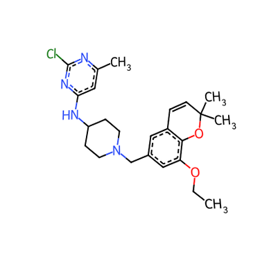 CCOc1cc(CN2CCC(Nc3cc(C)nc(Cl)n3)CC2)cc2c1OC(C)(C)C=C2